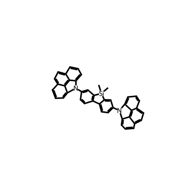 C[Si]1(C)c2cc(-n3c4cccc5ccc6cccc3c6c54)ccc2-c2ccc(-n3c4cccc5ccc6cccc3c6c54)cc21